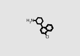 NC1CCCC(c2ccc(Cl)c3ccccc23)C1